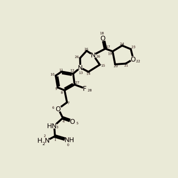 N=C(N)NC(=O)OCc1cccc(N2CCN(C(=O)C3CCOCC3)CC2)c1F